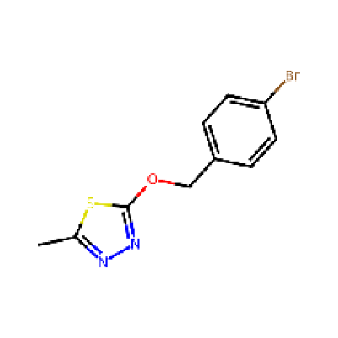 Cc1nnc(OCc2ccc(Br)cc2)s1